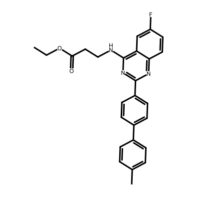 CCOC(=O)CCNc1nc(-c2ccc(-c3ccc(C)cc3)cc2)nc2ccc(F)cc12